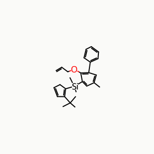 C=CCOc1c(-c2ccccc2)cc(C)cc1[Si](C)(C)C1=C(C(C)(C)C)C=CC1